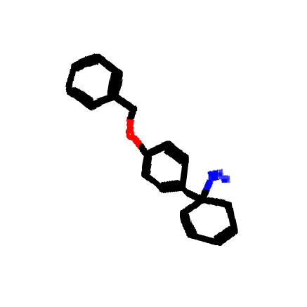 NC1(c2ccc(OCc3ccccc3)cc2)C=CC=CC1